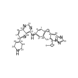 COc1cc(Oc2ccc(Nc3ncnc4ccc(C5=CCNCC5)nc34)cc2C)cc2ncnn12